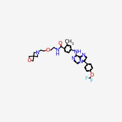 Cc1cc(Nc2nccn3c(-c4ccc(OC(F)F)cc4)cnc23)ccc1C(=O)NCCOCCN1CC2(COC2)C1